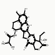 CC[C@@]1(O)C(=O)OCc2c1cc1n(c2=O)Cc2c-1nc1cc(F)c(C)c3c1c2[C@@H](NC(=O)C(O)O)CC3